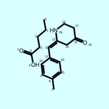 CCCCC(=O)O.Cc1ccc(C=C2CC(=O)CCN2)cc1